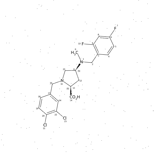 CN(Cc1ccc(F)cc1F)[C@H]1C[C@@H](C(=O)O)N(Cc2ccc(Cl)c(Cl)c2)C1